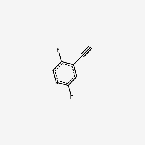 C#Cc1cc(F)ncc1F